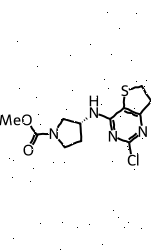 COC(=O)N1CC[C@@H](Nc2nc(Cl)nc3c2SCC3)C1